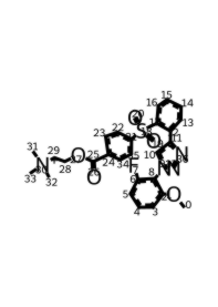 COc1cccc(F)c1-n1cc(-c2ccccc2S(=O)(=O)c2ccc(C(=O)OCC[N+](C)(C)C)cc2)nn1